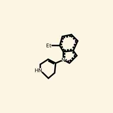 CCc1cccc2ccn(C3=CCNCC3)c12